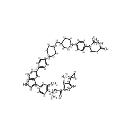 C=C1NC(=O)CCN1c1ccc(N2CCC(CN3CCN(c4ccc(-c5cnc6[nH]nc(-c7ccc([C@@H](C)NC(=O)c8nc(C9(C)CC9)no8)c(C)c7)c6c5)cc4)CC3)CC2)cc1